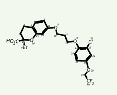 CC[C@@]1(C(=O)O)CCc2ccc(OCCCOc3ccc(OCC(F)(F)F)cc3Cl)cc2O1